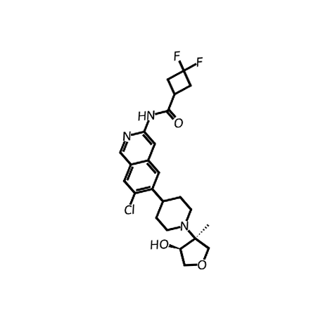 C[C@]1(N2CCC(c3cc4cc(NC(=O)C5CC(F)(F)C5)ncc4cc3Cl)CC2)COC[C@H]1O